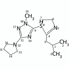 CC(C)CC1=NCC[SH]1c1nc(N2CCCC2)nn1C